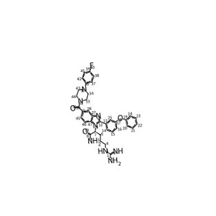 N=C(N)NCCC[C@@H](C(N)=O)n1c(-c2cccc(Oc3ccccc3)c2)nc2cc(C(=O)N3CCN(c4ccc(F)cc4)CC3)ccc21